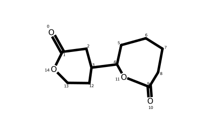 O=C1CC(C2CCCCC(=O)O2)CCO1